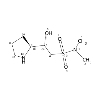 CN(C)S(=O)(=O)C[C@@H](O)[C@@H]1CCCN1